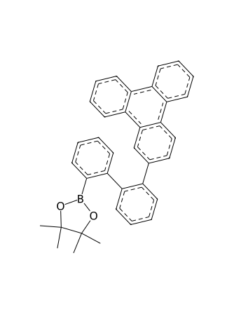 CC1(C)OB(c2ccccc2-c2ccccc2-c2ccc3c4ccccc4c4ccccc4c3c2)OC1(C)C